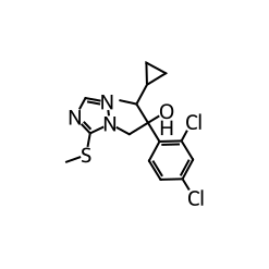 CSc1ncnn1CC(O)(c1ccc(Cl)cc1Cl)C(C)C1CC1